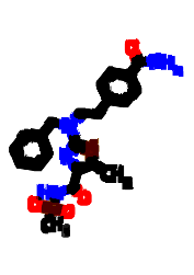 Cc1sc(N(CCc2ccc(C(N)=O)cc2)Cc2ccccc2)nc1C(=O)NS(C)(=O)=O